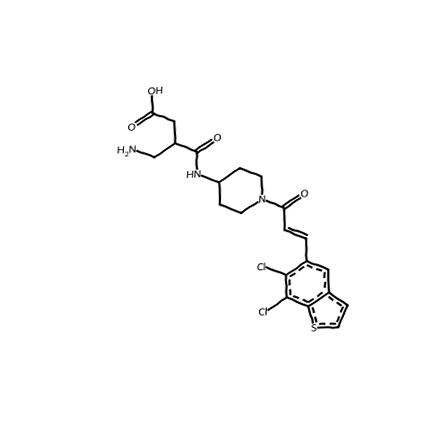 NCC(CC(=O)O)C(=O)NC1CCN(C(=O)/C=C/c2cc3ccsc3c(Cl)c2Cl)CC1